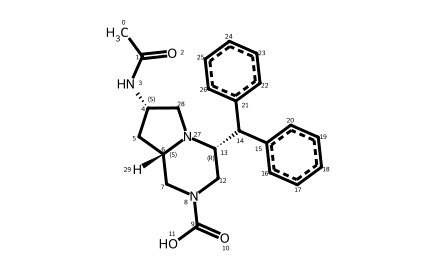 CC(=O)N[C@H]1C[C@H]2CN(C(=O)O)C[C@@H](C(c3ccccc3)c3ccccc3)N2C1